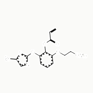 C=CC(=O)Oc1c(OCCOC)cccc1Oc1ncc(Br)s1